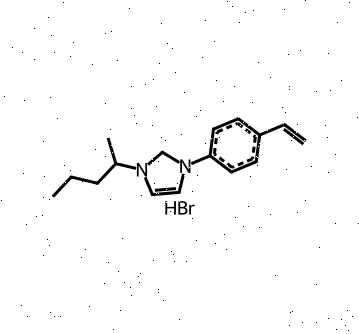 Br.C=Cc1ccc(N2C=CN(C(C)CCC)C2)cc1